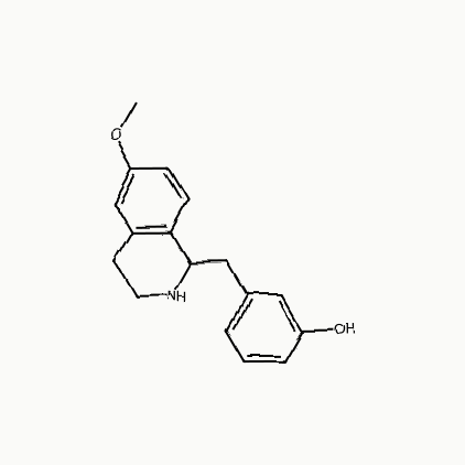 COc1ccc2c(c1)CCNC2Cc1cccc(O)c1